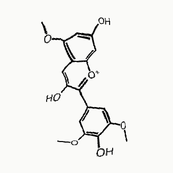 COc1cc(-c2[o+]c3cc(O)cc(OC)c3cc2O)cc(OC)c1O